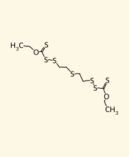 CCOC(=S)SSCCSCCSSC(=S)OCC